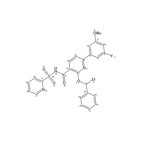 CCC(Oc1nc(-c2cc(F)cc(OCC(C)C)c2)ccc1C(=O)NS(=O)(=O)c1ccccn1)c1ccccc1